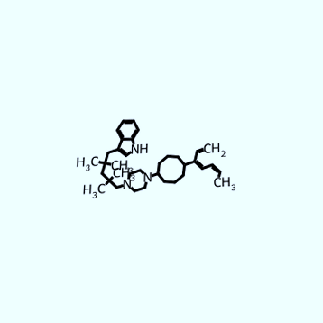 C=C/C(=C\C=C/C)C1CCCC(N2CCN(CC(C)(C)CC(C)(C)Cc3c[nH]c4ccccc34)CC2)CCC1